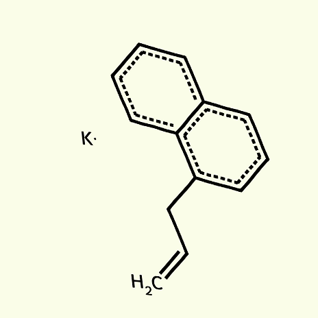 C=CCc1cccc2ccccc12.[K]